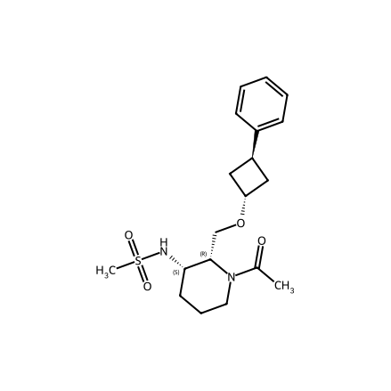 CC(=O)N1CCC[C@H](NS(C)(=O)=O)[C@@H]1CO[C@H]1C[C@H](c2ccccc2)C1